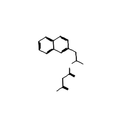 CC(=O)CC(=O)OC(C)[CH]c1ccc2ccccc2c1